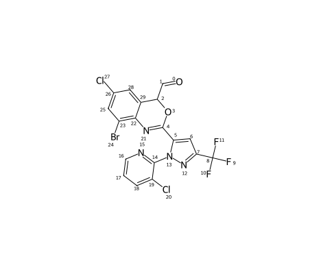 O=CC1OC(c2cc(C(F)(F)F)nn2-c2ncccc2Cl)=Nc2c(Br)cc(Cl)cc21